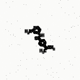 CC(N)c1ccc(C(=O)Nc2ccnc(N)c2)cc1